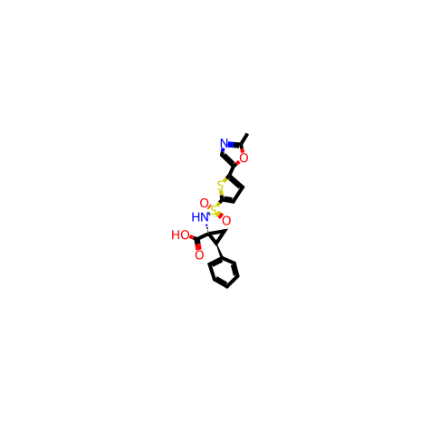 Cc1ncc(-c2ccc(S(=O)(=O)N[C@]3(C(=O)O)C[C@H]3c3ccccc3)s2)o1